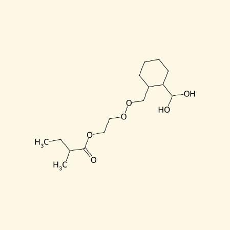 CCC(C)C(=O)OCCOOCC1CCCCC1C(O)O